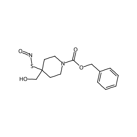 O=NSC1(CO)CCN(C(=O)OCc2ccccc2)CC1